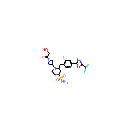 NS(=O)(=O)C1CCN(C2CN(C(=O)CO)C2)C(Cc2ccc(-c3nnc(C(F)F)o3)cc2F)C1